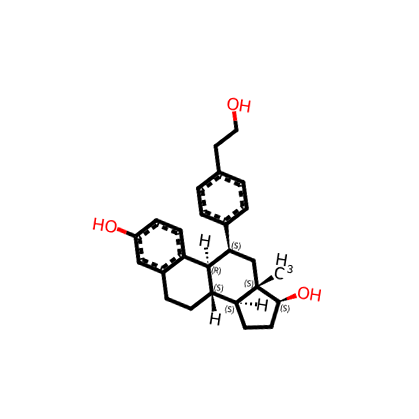 C[C@]12C[C@H](c3ccc(CCO)cc3)[C@@H]3c4ccc(O)cc4CC[C@H]3[C@@H]1CC[C@@H]2O